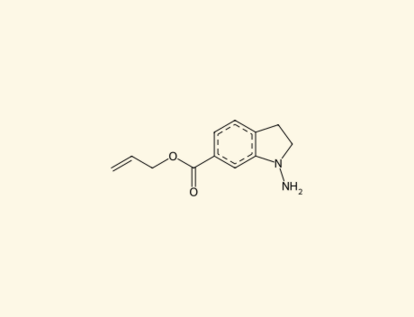 C=CCOC(=O)c1ccc2c(c1)N(N)CC2